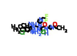 C=CC(=O)N1CC(NC(=O)c2c(Cl)nc(CNC(=N)c3cc(C(C)(C)C)c(Cl)cc3N)n2[C@H]2CCN(CC(F)F)C2)C1